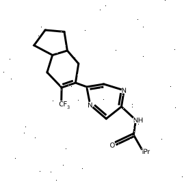 CC(C)C(=O)Nc1cnc(C2=C(C(F)(F)F)CC3CCCC3C2)cn1